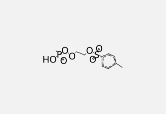 Cc1ccc(S(=O)(=O)OCCOOP(C)(=O)O)cc1